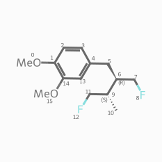 COc1ccc(C[C@@H](CF)[C@H](C)CF)cc1OC